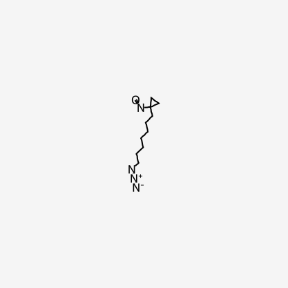 [N-]=[N+]=NCCCCCCCC1(N=O)CC1